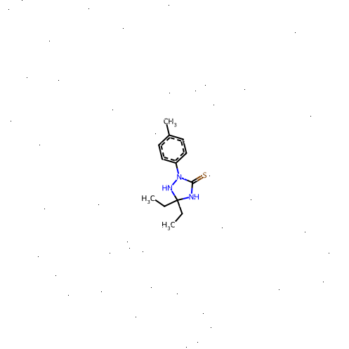 CCC1(CC)NC(=S)N(c2ccc(C)cc2)N1